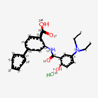 CCN(CC)c1ccc(O)c(C(=O)Nc2cc(-c3ccccc3)ccc2C(=O)O)c1.Cl